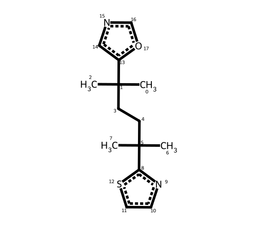 CC(C)(CCC(C)(C)c1nccs1)c1cnco1